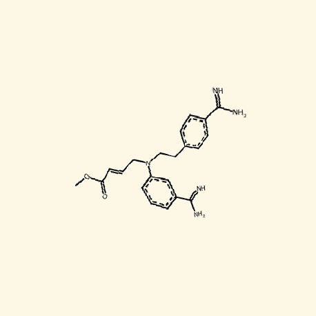 COC(=O)C=CCN(CCc1ccc(C(=N)N)cc1)c1cccc(C(=N)N)c1